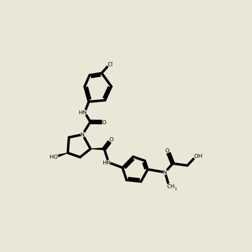 CN(C(=O)CO)c1ccc(NC(=O)[C@H]2C[C@@H](O)CN2C(=O)Nc2ccc(Cl)cc2)cc1